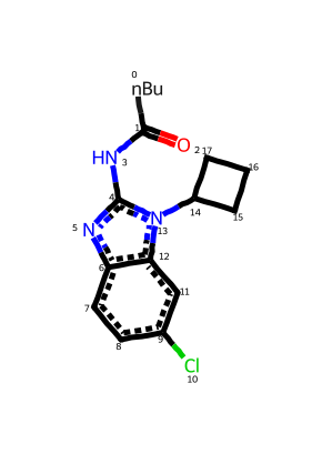 CCCCC(=O)Nc1nc2ccc(Cl)cc2n1C1CCC1